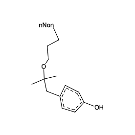 CCCCCCCCCCCCOC(C)(C)Cc1ccc(O)cc1